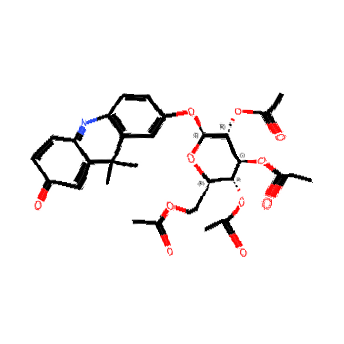 CC(=O)OC[C@H]1O[C@@H](Oc2ccc3c(c2)C(C)(C)C2=CC(=O)C=CC2=N3)[C@H](OC(C)=O)[C@@H](OC(C)=O)[C@@H]1OC(C)=O